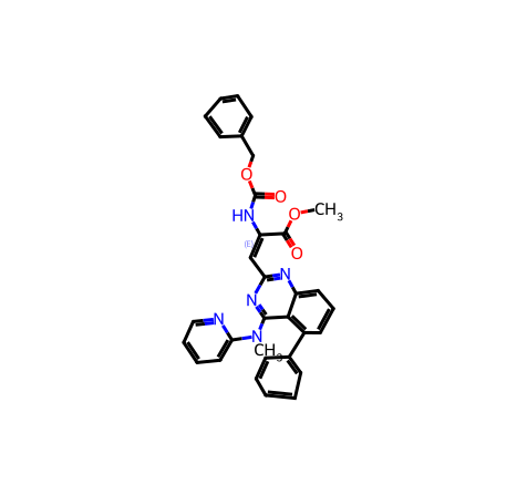 COC(=O)/C(=C\c1nc(N(C)c2ccccn2)c2c(-c3ccccc3)cccc2n1)NC(=O)OCc1ccccc1